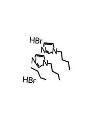 Br.Br.CCCC.CCCCn1ccnc1.CCCCn1ccnc1